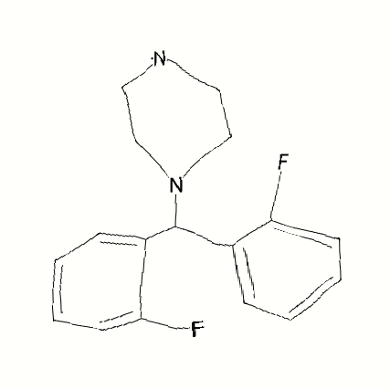 Fc1ccccc1C(c1ccccc1F)N1CC[N]CC1